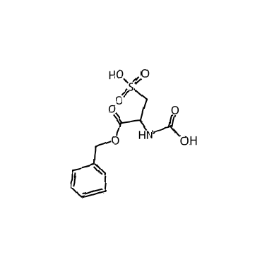 O=C(O)NC(CS(=O)(=O)O)C(=O)OCc1ccccc1